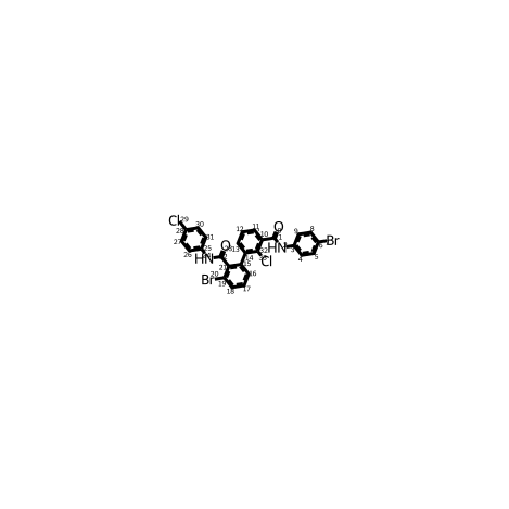 O=C(Nc1ccc(Br)cc1)c1[c]ccc(-c2cccc(Br)c2C(=O)Nc2ccc(Cl)cc2)c1Cl